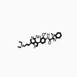 CCN(CC)CC=Cc1cnc(N)c2c(-c3ccc(NC(=O)c4nc5ccccc5n4C)c(OC)c3)csc12